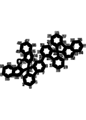 c1ccc2c(c1)-c1ccc(-c3cccc4c3-c3ccccc3C43c4ccccc4-c4c3ccc3ccccc43)cc1C21c2ccc3ccccc3c2Oc2c1ccc1ccccc21